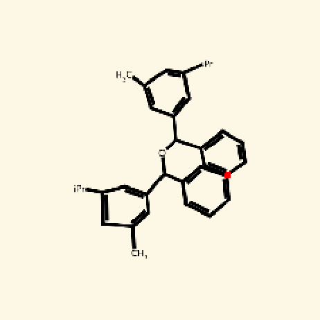 Cc1cc(C(C)C)cc(C(OC(c2ccccc2)c2cc(C)cc(C(C)C)c2)c2ccccc2)c1